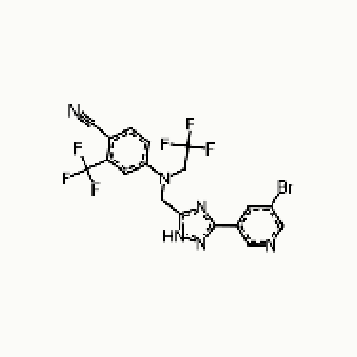 N#Cc1ccc(N(Cc2nc(-c3cncc(Br)c3)n[nH]2)CC(F)(F)F)cc1C(F)(F)F